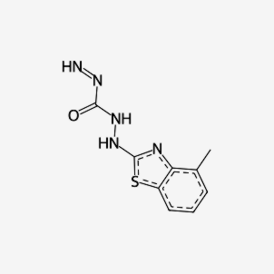 Cc1cccc2sc(NNC(=O)N=N)nc12